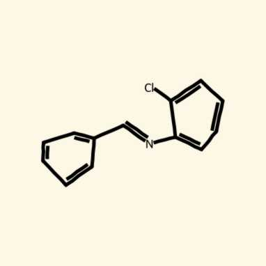 Clc1ccccc1/N=C/c1ccccc1